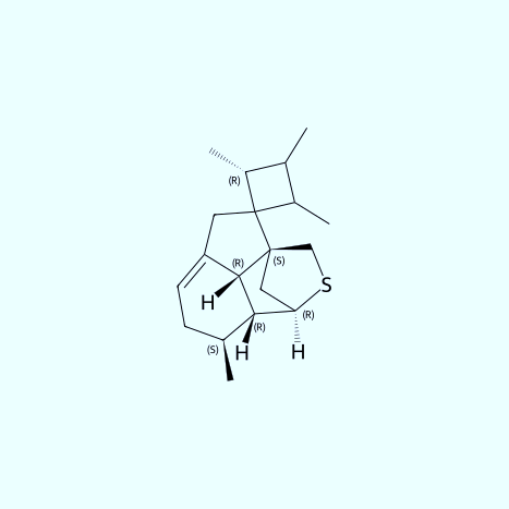 CC1C(C)C2(CC3=CC[C@H](C)[C@H]4[C@H]5C[C@]2(CS5)[C@@H]34)[C@@H]1C